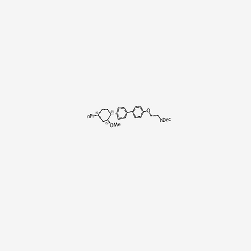 CCCCCCCCCCCCOc1ccc(-c2ccc([C@H]3CC[C@H](CCC)C[C@@H]3OC)cc2)cc1